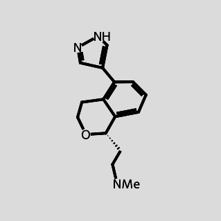 CNCC[C@@H]1OCCc2c(-c3cn[nH]c3)cccc21